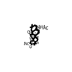 CC(=O)N[C@]12CCC(C)(C)C[C@H]1[C@H]1C(=O)C[C@@H]3[C@@]4(C)C=C(C#N)C(=O)C(C)(C)[C@@H]4CC[C@@]3(C)[C@]1(C)CC2